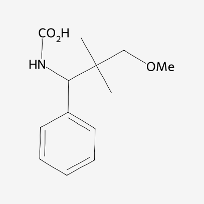 COCC(C)(C)C(NC(=O)O)c1ccccc1